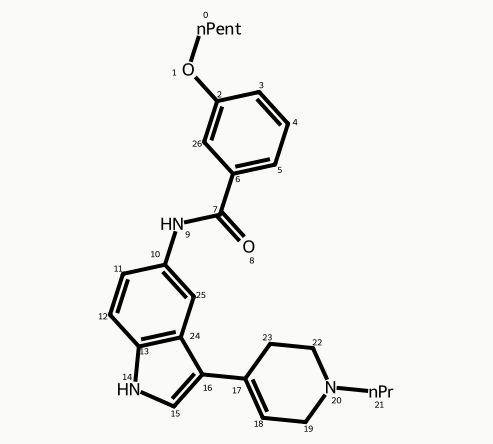 CCCCCOc1cccc(C(=O)Nc2ccc3[nH]cc(C4=CCN(CCC)CC4)c3c2)c1